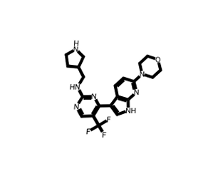 FC(F)(F)c1cnc(NCC2CCNC2)nc1-c1c[nH]c2nc(N3CCOCC3)ccc12